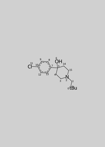 CC(C)(C)CN1CCC(O)(c2ccc(Cl)cc2)CC1